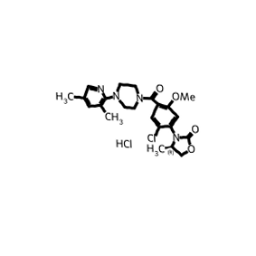 COc1cc(N2C(=O)OC[C@H]2C)c(Cl)cc1C(=O)N1CCN(c2ncc(C)cc2C)CC1.Cl